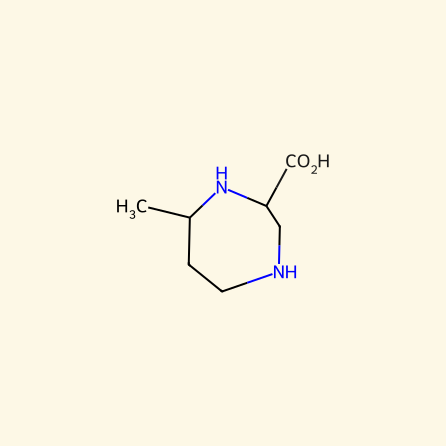 CC1CCNCC(C(=O)O)N1